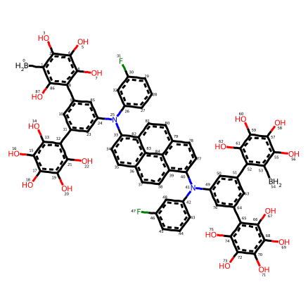 Bc1c(O)c(O)c(O)c(-c2cc(-c3c(O)c(O)c(O)c(O)c3O)cc(N(c3cccc(F)c3)c3ccc4ccc5c(N(c6cccc(F)c6)c6cc(-c7c(B)c(O)c(O)c(O)c7O)cc(-c7c(O)c(O)c(O)c(O)c7O)c6)ccc6ccc3c4c65)c2)c1O